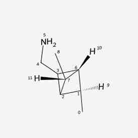 C[C@H]1C2C(CN)[C@H]1[C@H]2C